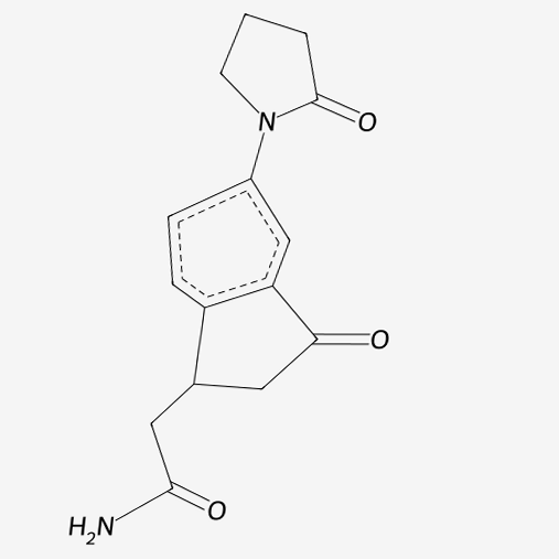 NC(=O)CC1CC(=O)c2cc(N3CCCC3=O)ccc21